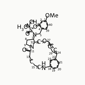 COc1ccc(CN(C2CCN3C(=O)CCCCNc4cccc(c4)C4CCC(CC4)OCC23)S(=O)(=O)N(C)C)cc1